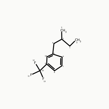 CCC(C)Cc1cccc(C(F)(F)F)c1